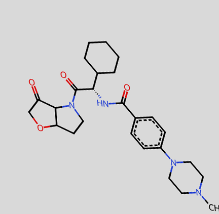 CN1CCN(c2ccc(C(=O)N[C@H](C(=O)N3CCC4OCC(=O)C43)C3CCCCC3)cc2)CC1